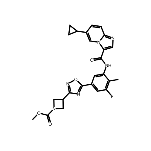 COC(=O)N1CC(c2noc(-c3cc(F)c(C)c(NC(=O)c4cnc5ccc(C6CC6)cn45)c3)n2)C1